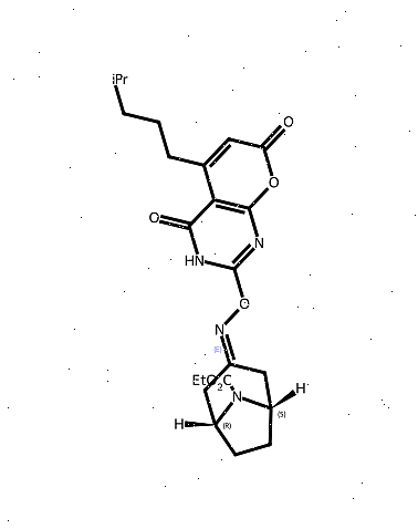 CCOC(=O)N1[C@@H]2CC[C@H]1C/C(=N\Oc1nc3oc(=O)cc(CCCC(C)C)c3c(=O)[nH]1)C2